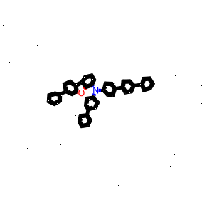 c1ccc(-c2ccc(-c3ccc(N(c4ccc(-c5ccccc5)cc4)c4cccc5c4oc4cc(-c6ccccc6)ccc45)cc3)cc2)cc1